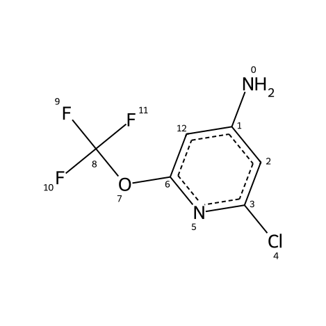 Nc1cc(Cl)nc(OC(F)(F)F)c1